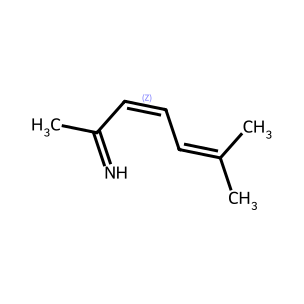 CC(=N)/C=C\C=C(C)C